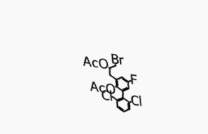 CC(=O)Oc1c(C[C@@H](CBr)OC(C)=O)cc(F)cc1-c1c(Cl)cccc1Cl